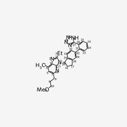 CCc1nc2c(C)cc(CCCOC)nc2n1[C@H]1CCc2cc(-c3ccccc3-c3nnn[nH]3)ccc21